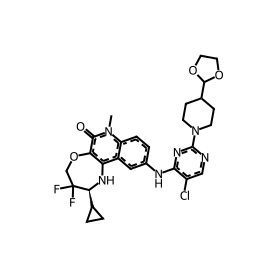 Cn1c(=O)c2c(c3cc(Nc4nc(N5CCC(C6OCCO6)CC5)ncc4Cl)ccc31)N[C@@H](C1CC1)C(F)(F)CO2